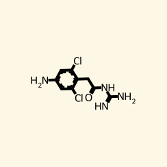 N=C(N)NC(=O)Cc1c(Cl)cc(N)cc1Cl